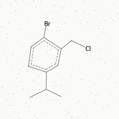 CC(C)c1ccc(Br)c(CCl)c1